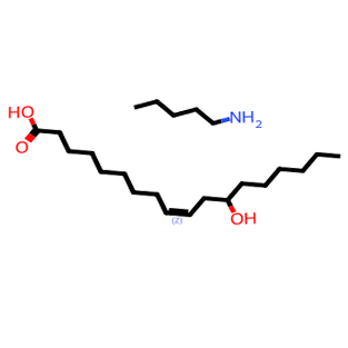 CCCCCCC(O)C/C=C\CCCCCCCC(=O)O.CCCCCN